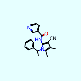 Cc1c(C#N)c(NC(=O)c2cccnc2)n(C(C)c2ccccc2)c1C